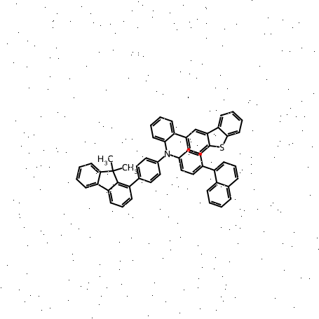 CC1(C)c2ccccc2-c2cccc(-c3ccc(N(c4ccc(-c5cccc6ccccc56)cc4)c4ccccc4-c4ccc5sc6ccccc6c5c4)cc3)c21